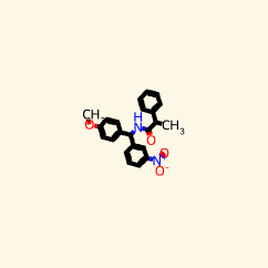 COc1ccc(C(NC(=O)C(C)c2ccccc2)c2cccc([N+](=O)[O-])c2)cc1